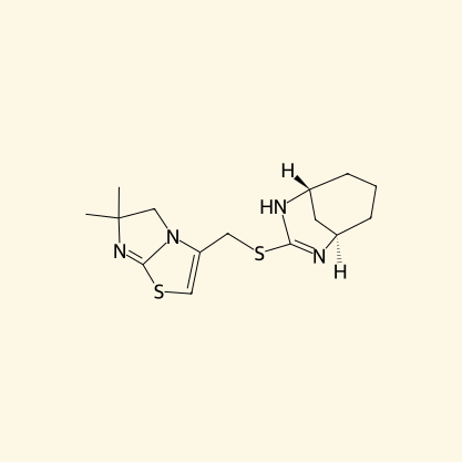 CC1(C)CN2C(CSC3=N[C@@H]4CCC[C@H](C4)N3)=CSC2=N1